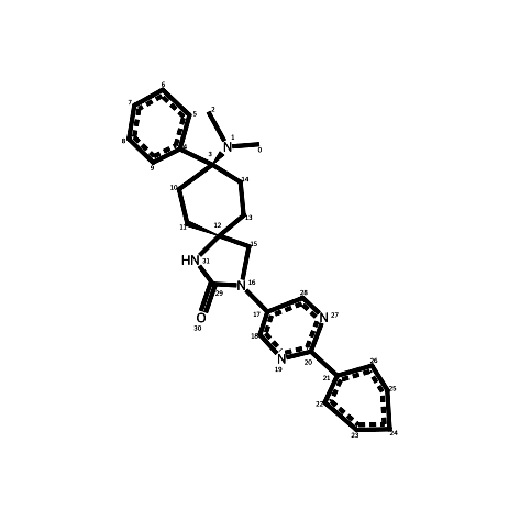 CN(C)[C@]1(c2ccccc2)CC[C@@]2(CC1)CN(c1cnc(-c3ccccc3)nc1)C(=O)N2